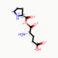 N[C@@H](CCC(=O)O)C(=O)OC(=O)[C@@H]1CCCN1